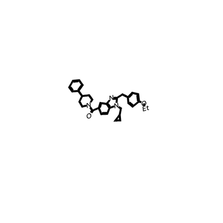 CCOc1ccc(Cc2nc3cc(C(=O)N4CCC(c5ccccc5)CC4)ccc3n2CC2CC2)cc1